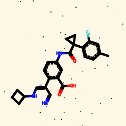 Cc1ccc(C2(C(=O)Nc3ccc(/C(C=N)=C/NC4CCC4)c(C(=O)O)c3)CC2)c(F)c1